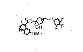 COc1ccc2ncc(C)c(C(O)CCC3(CO)CCN(CCOc4cc(F)c(F)c(F)c4)CC3)c2c1